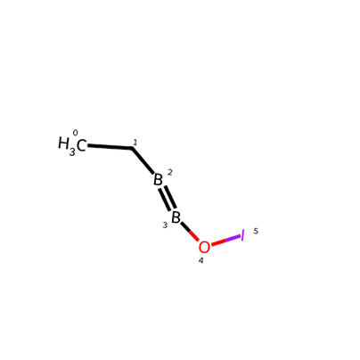 CCB=BOI